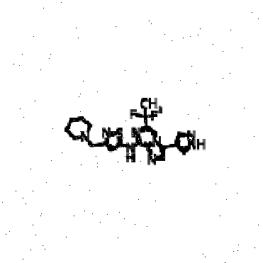 CC(F)(F)c1cn2c(-c3cn[nH]c3)cnc2c(Nc2cc(CN3CCCCC3)ns2)n1